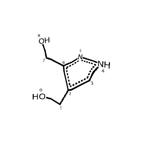 OCc1c[nH]nc1CO